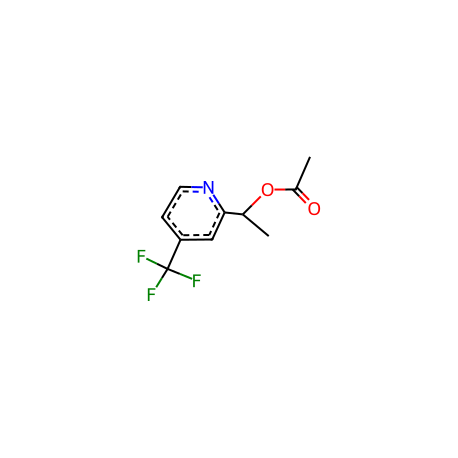 CC(=O)OC(C)c1cc(C(F)(F)F)ccn1